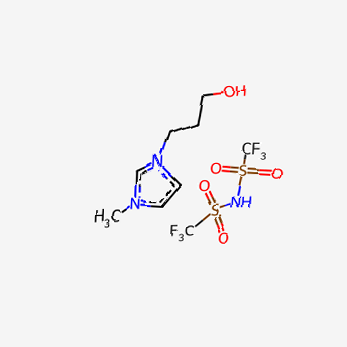 C[n+]1ccn(CCCO)c1.O=S(=O)(NS(=O)(=O)C(F)(F)F)C(F)(F)F